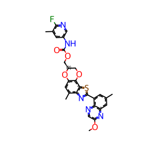 COc1cnc2c(-c3nc4c(C)cc5c(c4s3)OC[C@H](COC(=O)Nc3cnc(F)c(C)c3)O5)cc(C)cc2n1